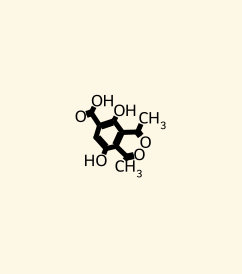 CC(=O)c1c(O)cc(C(=O)O)c(O)c1C(C)=O